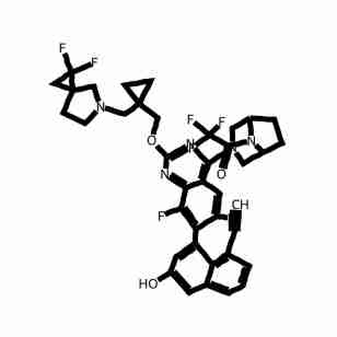 C#Cc1cccc2cc(O)cc(-c3c(F)cc4c(N5CC6CCC(C5)N6C(=O)C(F)(F)F)nc(OCC5(CN6CCC7(C6)CC7(F)F)CC5)nc4c3F)c12